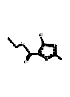 CCOC(=O)c1nc(C)sc1Cl